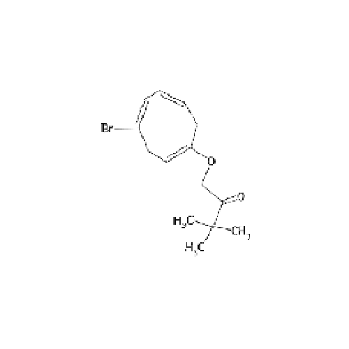 CC(C)(C)C(=O)CO/C1=C/C/C(Br)=C\C=C/C1